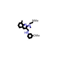 CNCCN(C)c1nc2c(C)cccc2cc1CNc1cccc(OC)c1